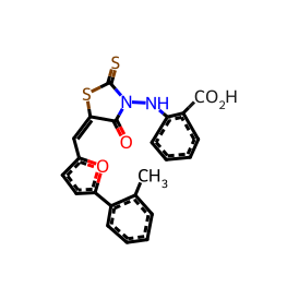 Cc1ccccc1-c1ccc(C=C2SC(=S)N(Nc3ccccc3C(=O)O)C2=O)o1